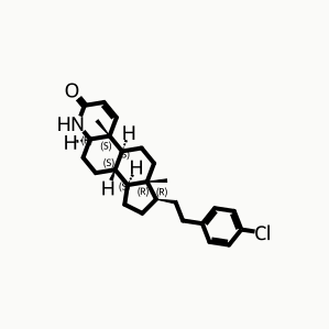 C[C@]12C=CC(=O)N[C@@H]1CC[C@@H]1[C@@H]2CC[C@]2(C)[C@@H](CCc3ccc(Cl)cc3)CC[C@@H]12